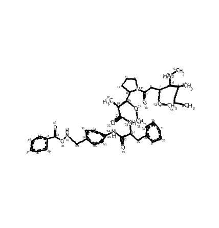 CCC(C)C(NC)C(CC(=O)N1CCCC1C(OC)C(C)C(=O)NC(Cc1ccccc1)C(=O)Nc1ccc(CNOC(=O)c2ccccc2)cc1)OC